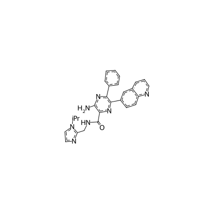 CC(C)n1ccnc1CNC(=O)c1nc(-c2ccc3ncccc3c2)c(-c2ccccc2)nc1N